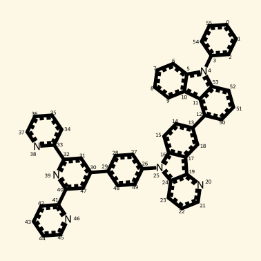 c1ccc(-n2c3ccccc3c3c(-c4ccc5c(c4)c4ncccc4n5-c4ccc(-c5cc(-c6ccccn6)nc(-c6ccccn6)c5)cc4)cccc32)cc1